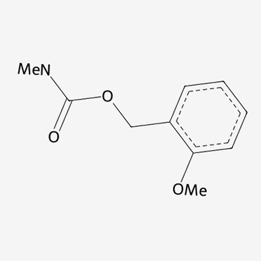 CNC(=O)OCc1ccccc1OC